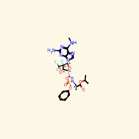 CNc1nc(N)nc2c1ncn2[C@@H]1O[C@H](CO[P@@](=O)(N[C@H](C)C(=O)OC(C)C)Oc2ccccc2)[C@@H](O)[C@]1(F)C(F)F